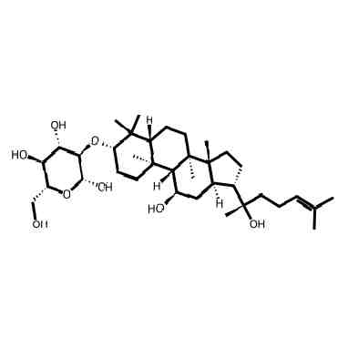 CC(C)=CCC[C@](C)(O)[C@H]1CC[C@]2(C)[C@@H]1C[C@@H](O)[C@@H]1[C@@]3(C)CC[C@H](O[C@@H]4[C@@H](O)[C@H](O)[C@@H](CO)O[C@H]4O)C(C)(C)[C@@H]3CC[C@]12C